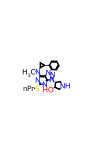 CCCSc1nc(N(C)[C@@H]2C[C@H]2c2ccccc2)c2nnn([C@@H]3CNC[C@H]3O)c2n1